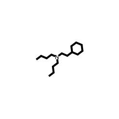 CCCCN(CCCC)CCC1CCCCC1